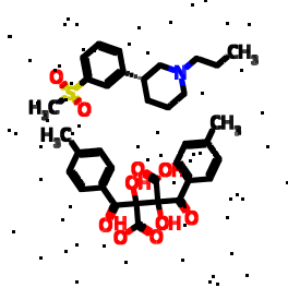 CCCN1CCC[C@H](c2cccc(S(C)(=O)=O)c2)C1.Cc1ccc(C(=O)C(O)(C(=O)O)C(O)(C(=O)O)C(=O)c2ccc(C)cc2)cc1